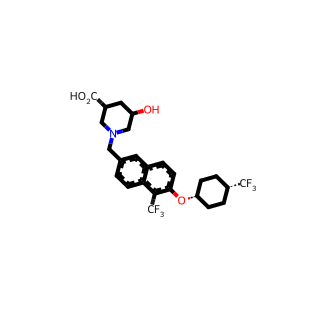 O=C(O)C1CC(O)CN(Cc2ccc3c(C(F)(F)F)c(O[C@H]4CC[C@@H](C(F)(F)F)CC4)ccc3c2)C1